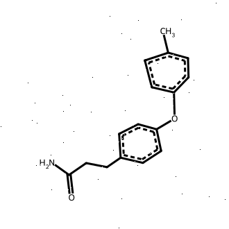 Cc1ccc(Oc2ccc(CCC(N)=O)cc2)cc1